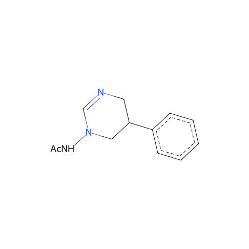 CC(=O)NN1C=NCC(c2ccccc2)C1